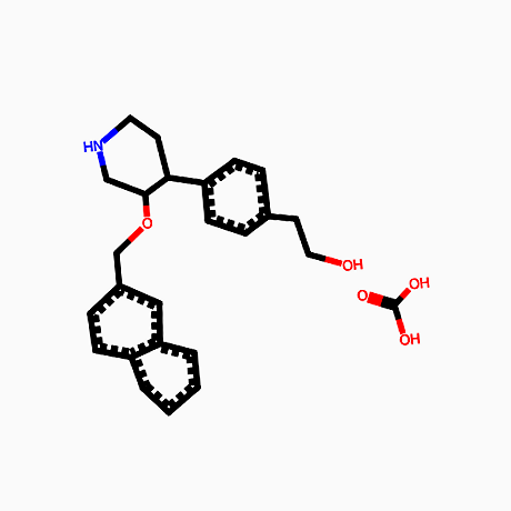 O=C(O)O.OCCc1ccc(C2CCNCC2OCc2ccc3ccccc3c2)cc1